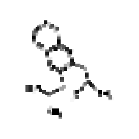 CC(C)Cc1[c]c2ccccc2cc1CC(C)C